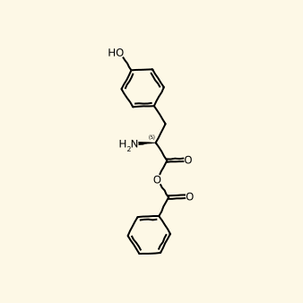 N[C@@H](Cc1ccc(O)cc1)C(=O)OC(=O)c1ccccc1